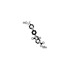 CC(C)(C)OC(=O)N1CCN2C(=O)N(c3ccc(N4CCC(C(=O)O)CC4)cc3)C[C@@H]2C1